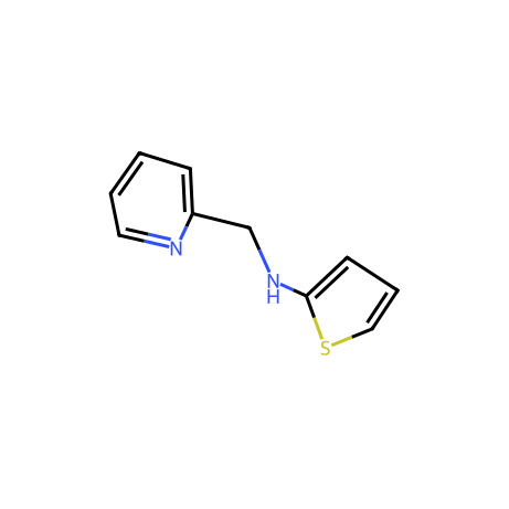 c1ccc(CNc2cccs2)nc1